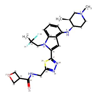 C[C@H]1CN(C)CC[C@H]1Nc1cccc2c1cc(-c1nnc(CNC(=O)C3COC3)s1)n2CC(C)(F)F